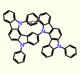 N#Cc1cccc2c3ccc4c(c5ccccc5n4-c4ccccc4)c3n(-c3ccc4c(c3)c3c(ccc5c6ccccc6n(-c6ccccc6)c53)n4-c3ccccc3)c12